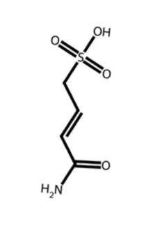 NC(=O)/C=C/CS(=O)(=O)O